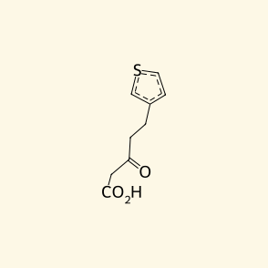 O=C(O)CC(=O)CCc1ccsc1